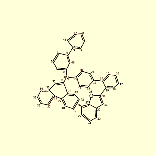 c1ccc(-c2cccc(N(c3ccc(-c4ccccc4-c4cc5ccccc5o4)cc3)c3cc4ccccc4c4ccccc34)c2)cc1